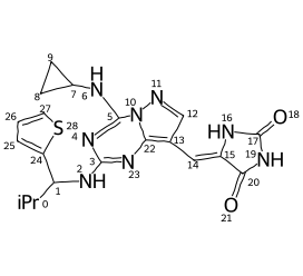 CC(C)C(Nc1nc(NC2CC2)n2ncc(/C=C3\NC(=O)NC3=O)c2n1)c1cccs1